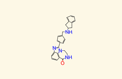 O=C1NCCn2c(-c3ccc(CNC4Cc5ccccc5C4)cc3)nc3cccc1c32